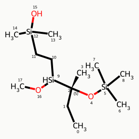 CC[C@@](C)(O[Si](C)(C)C)[SiH](CC[Si](C)(C)O)OC